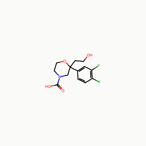 O=C(O)N1CCOC(CCO)(c2ccc(F)c(F)c2)C1